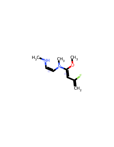 C=C(F)/C=C(\OC)N(C)/C=C\NC